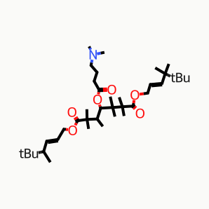 CC(/C=C/COC(=O)C(C)(C)C(C)C(OC(=O)CCCN(C)C)C(C)(C)C(C)(C)C(=O)OC/C=C/C(C)(C)C(C)(C)C)C(C)(C)C